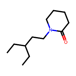 CCC(CC)CCN1CCCCC1=O